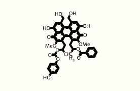 COc1c(CC(C)OC(=O)Oc2ccc(O)cc2)c2c3c(CC(C)OC(=O)c4ccccc4)c(OC)c(=O)c4c(O)cc(CO)c(c5c(CO)cc(O)c(c1=O)c52)c43